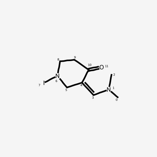 CN(C)/C=C1/CN(I)CCC1=O